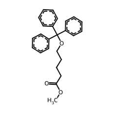 COC(=O)CCCCOC(c1ccccc1)(c1ccccc1)c1ccccc1